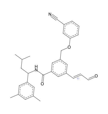 Cc1cc(C)cc(C(CC(C)C)NC(=O)c2cc(/C=C/C=O)cc(COc3cccc(C#N)c3)c2)c1